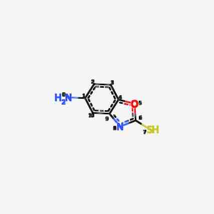 Nc1ccc2oc(S)nc2c1